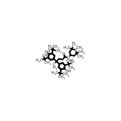 CN1C(C)(C)CC(OC(=O)CCC(C)(c2cc(C(C)(C)C)c(O)c(C(C)(C)C)c2)c2cc(C(C)(C)C)c(O)c(C(C)(C)C)c2)CC1(C)C